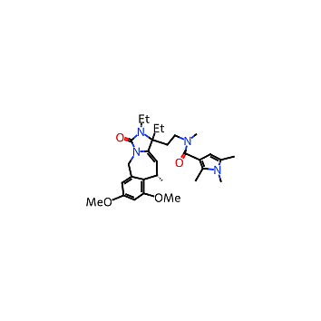 CCN1C(=O)N2Cc3cc(OC)cc(OC)c3[C@@H](C)C=C2C1(CC)CCN(C)C(=O)c1cc(C)n(C)c1C